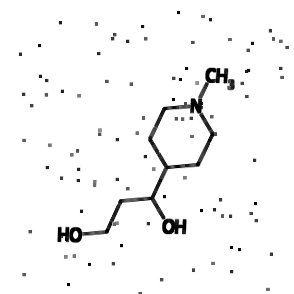 CN1CCC(C(O)CCO)CC1